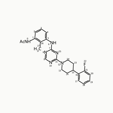 CC(=O)Nc1cccc(Nc2ncnc(N3CCC(c4ccccc4F)CC3)n2)c1C